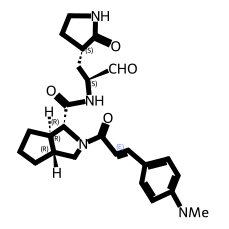 CNc1ccc(/C=C/C(=O)N2C[C@@H]3CCC[C@H]3[C@@H]2C(=O)N[C@H](C=O)C[C@@H]2CCNC2=O)cc1